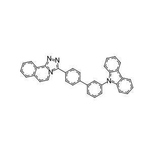 c1cc(-c2ccc(-c3nnc4c5ccccc5ccn34)cc2)cc(-n2c3ccccc3c3ccccc32)c1